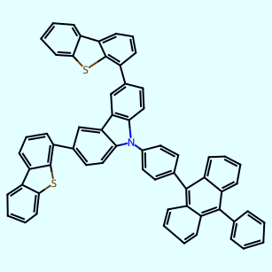 c1ccc(-c2c3ccccc3c(-c3ccc(-n4c5ccc(-c6cccc7c6sc6ccccc67)cc5c5cc(-c6cccc7c6sc6ccccc67)ccc54)cc3)c3ccccc23)cc1